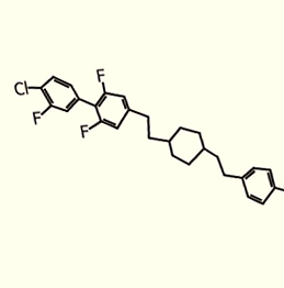 CCc1ccc(CCC2CCC(CCc3cc(F)c(-c4ccc(Cl)c(F)c4)c(F)c3)CC2)cc1